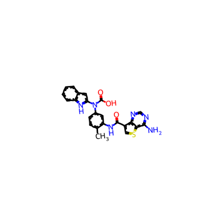 Cc1ccc(N(C(=O)O)c2cc3ccccc3[nH]2)cc1NC(=O)c1csc2c(N)ncnc12